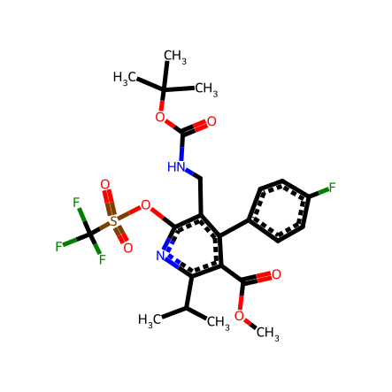 COC(=O)c1c(C(C)C)nc(OS(=O)(=O)C(F)(F)F)c(CNC(=O)OC(C)(C)C)c1-c1ccc(F)cc1